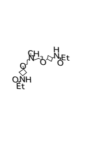 CCC(=O)NC1CC(OCCN(C)CCOC2CC(NC(=O)CC)C2)C1